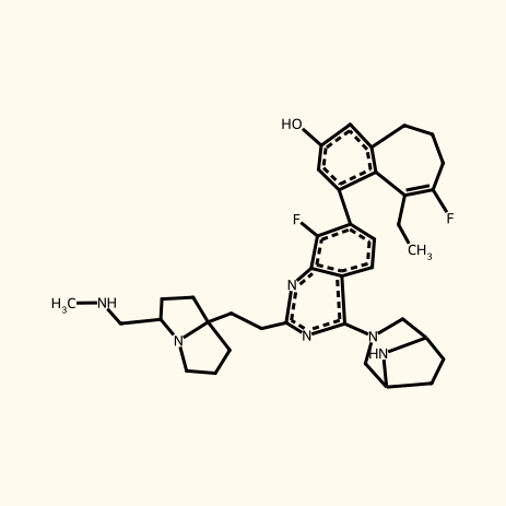 CCC1=C(F)CCCc2cc(O)cc(-c3ccc4c(N5CC6CCC(C5)N6)nc(CCC56CCCN5C(CNC)CC6)nc4c3F)c21